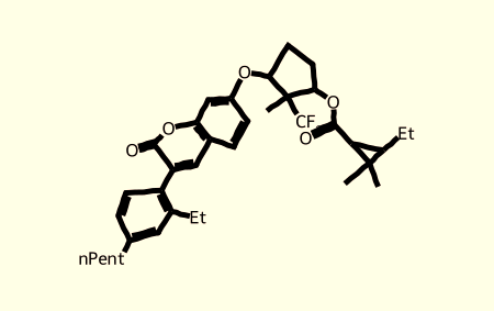 CCCCCc1ccc(-c2cc3ccc(OC4CCC(OC(=O)C5C(CC)C5(C)C)C4(C)C(F)(F)F)cc3oc2=O)c(CC)c1